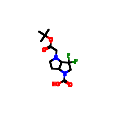 CC(C)(C)OC(=O)CN1CCC2C1C(F)(F)CN2C(=O)O